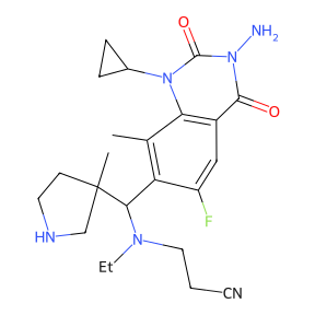 CCN(CCC#N)C(c1c(F)cc2c(=O)n(N)c(=O)n(C3CC3)c2c1C)C1(C)CCNC1